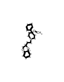 COC1(c2ccccc2)CCN(CCC2COc3ccccc3O2)CC1